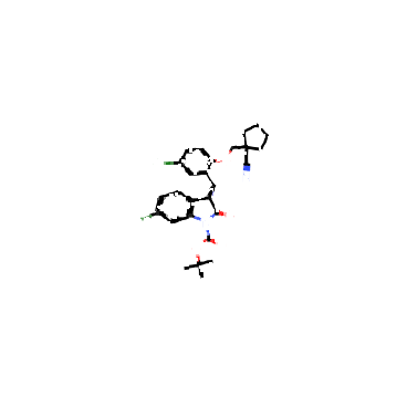 CC(C)(C)OC(=O)N1C(=O)/C(=C/c2cc(Cl)ccc2OCC2(C#N)CCCC2)c2ccc(Cl)cc21